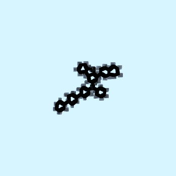 c1ccc(-c2ccc(-c3ccc(N(c4ccccc4)c4cc(-c5ccc6ccccc6c5)c5oc6ccccc6c5c4)cc3)cc2)cc1